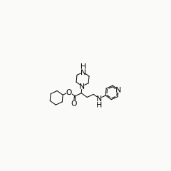 O=C(OC1CCCCC1)C(CCNc1ccncc1)N1CCNCC1